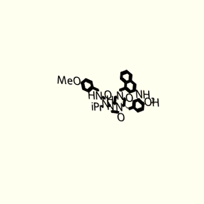 COc1ccc(CNC(=O)N(C(C)C)N2CC(=O)N3[C@@H](Cc4ccc(O)c(N)c4)C(=O)N(Cc4cccc5ccccc45)C[C@@H]32)cc1